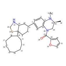 CC(=O)N1c2ccc(C3CCC4(C5CCCCCCCC5)SCNC4C3)cc2N(C(=O)c2ccco2)C[C@@H]1C